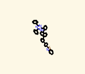 c1ccc(C2=NC(c3ccccc3-c3cccc4c(-c5cccc(-c6ccc(-c7nc8ccccc8s7)cc6)c5)cccc34)NC(c3ccccc3)=N2)cc1